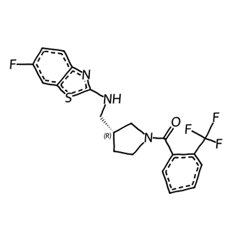 O=C(c1ccccc1C(F)(F)F)N1CC[C@H](CNc2nc3ccc(F)cc3s2)C1